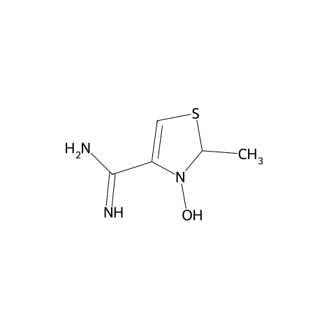 CC1SC=C(C(=N)N)N1O